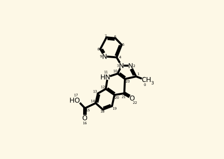 Cc1nn(-c2ccccn2)c2[nH]c3cc(C(=O)O)ccc3c(=O)c12